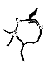 CC1=NCC(C)[Si](C)(C)O1